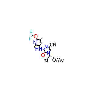 COC[C@H](C1CC1)n1cc(C#N)nc(Nc2cc(C)c(OC(F)F)nc2C)c1=O